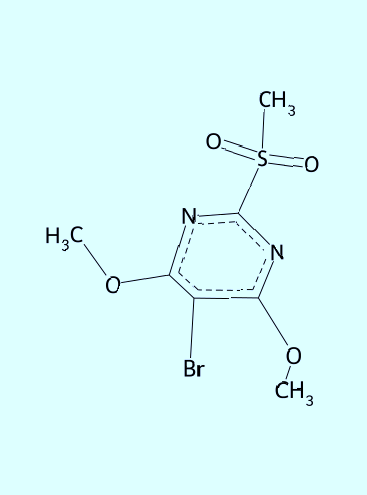 COc1nc(S(C)(=O)=O)nc(OC)c1Br